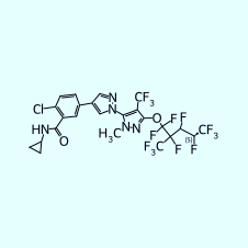 Cn1nc(OC(F)(F)C(F)(C(F)[C@H](F)C(F)(F)F)C(F)(F)F)c(C(F)(F)F)c1-n1cc(-c2ccc(Cl)c(C(=O)NC3CC3)c2)cn1